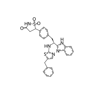 O=C1CC(c2ccc(C[C@H](Nc3ncc(Cc4ccccc4)s3)c3nc4ccccc4[nH]3)cc2)S(=O)(=O)N1